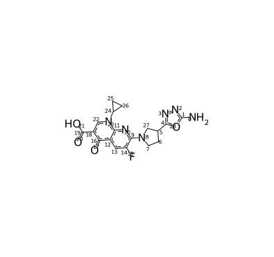 Nc1nnc(C2CCN(c3nc4c(cc3F)c(=O)c(C(=O)O)cn4C3CC3)C2)o1